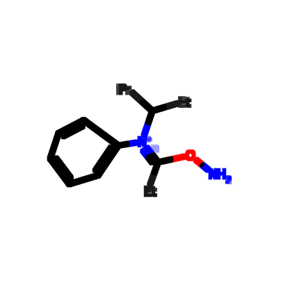 CC/C(ON)=[N+](\c1ccccc1)C(CC)C(C)C